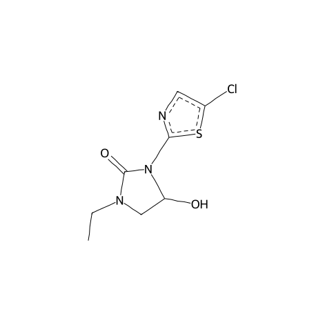 CCN1CC(O)N(c2ncc(Cl)s2)C1=O